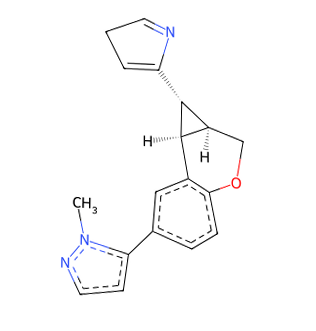 Cn1nccc1-c1ccc2c(c1)[C@@H]1[C@H](CO2)[C@H]1C1=CCC=N1